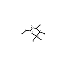 CCCOC(C)C(C)C(C)(C)C